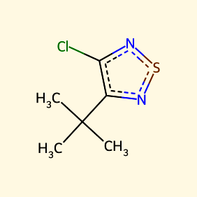 CC(C)(C)c1nsnc1Cl